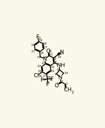 C=CC(=O)N1CC(Nc2c(C#N)c(=O)n(Cc3ccc(F)cc3)c3cc(Cl)c(C(F)(F)F)cc23)C1